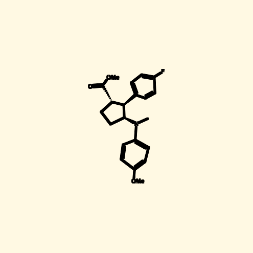 COC(=O)[C@H]1CC[C@H](N(C)c2ccc(OC)cc2)[C@@H]1c1ccc(F)cc1